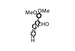 COc1ccc(C(/C=C2/C=CC(N3CCNCC3)=CN2C)=C/C=O)cc1OC